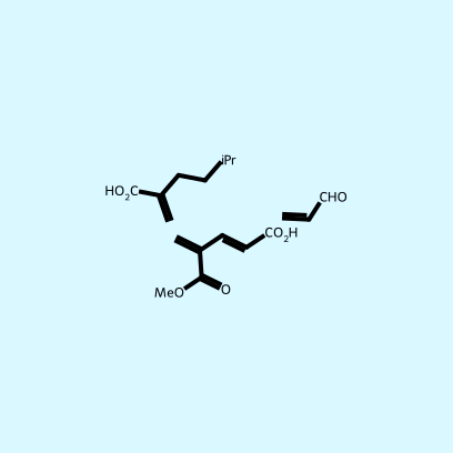 C=C(C=CC(=O)O)C(=O)OC.C=C(CCC(C)C)C(=O)O.C=CC=O